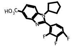 O=C(O)c1ccc2c(c1)nc(-c1ccc(F)c(F)c1F)n2C1CCCC1